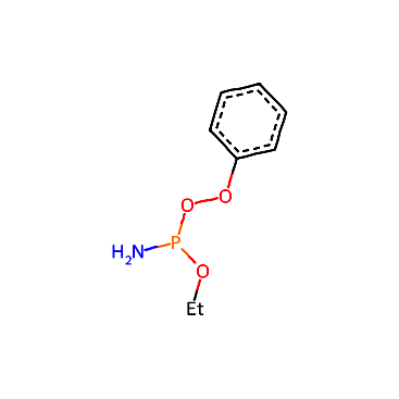 CCOP(N)OOc1ccccc1